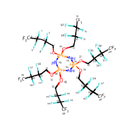 FC(F)(F)C(F)(F)C(F)(F)CO[PH]1(OCC(F)(F)C(F)(F)C(F)(F)F)N[PH](OCC(F)(F)C(F)(F)C(F)(F)F)(OCC(F)(F)C(F)(F)C(F)(F)F)N[PH](OCC(F)(F)C(F)(F)C(F)(F)F)(OCC(F)(F)C(F)(F)C(F)(F)F)N1